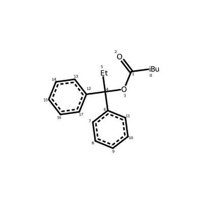 CCC(C)C(=O)OC(CC)(c1ccccc1)c1ccccc1